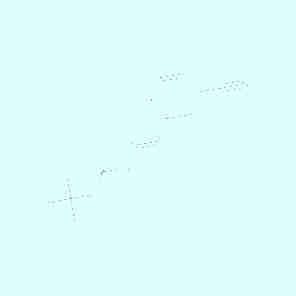 CC(C)(C)OC(=O)N/N=C/c1cccc(C#N)c1